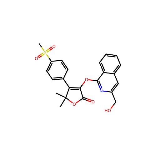 CC1(C)OC(=O)C(Oc2nc(CO)cc3ccccc23)=C1c1ccc(S(C)(=O)=O)cc1